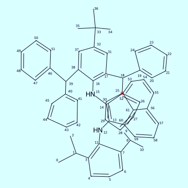 CC(C)c1cccc(C(C)C)c1NC1=C(Nc2c(C(c3ccccc3)c3ccccc3)cc(C(C)(C)C)cc2C(c2ccccc2)c2ccccc2)c2cccc3cccc1c23